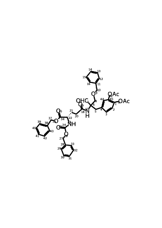 CC(=O)Oc1ccc(CC(C=O)(COCc2ccccc2)NC(=O)CC[C@H](NC(=O)OCc2ccccc2)C(=O)OCc2ccccc2)cc1OC(C)=O